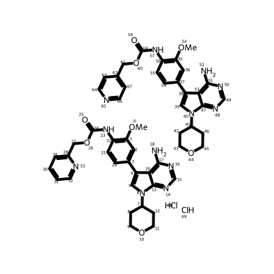 COc1cc(-c2cn(C3CCOCC3)c3ncnc(N)c23)ccc1NC(=O)OCc1ccccn1.COc1cc(-c2cn(C3CCOCC3)c3ncnc(N)c23)ccc1NC(=O)OCc1ccncc1.Cl.Cl